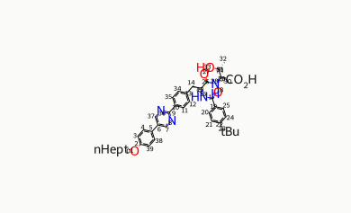 CCCCCCCOc1ccc(-c2cnc(-c3ccc(C[C@H](NC(=O)c4ccc(C(C)(C)C)cc4)C(=O)N[C@H](C(=O)O)[C@@H](C)O)cc3)nc2)cc1